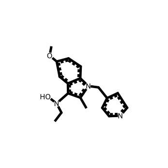 CCN(O)c1c(C)n(Cc2ccncc2)c2ccc(OC)cc12